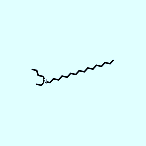 CCCCCCCCCCCCCCCCN(CC)CCCC